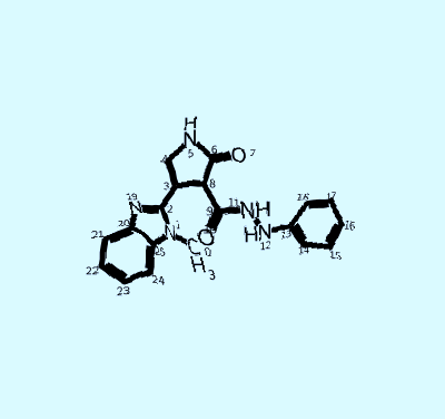 Cn1c(C2CNC(=O)C2C(=O)NNc2ccccc2)nc2ccccc21